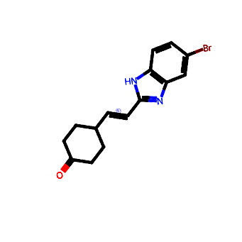 O=C1CCC(/C=C/c2nc3cc(Br)ccc3[nH]2)CC1